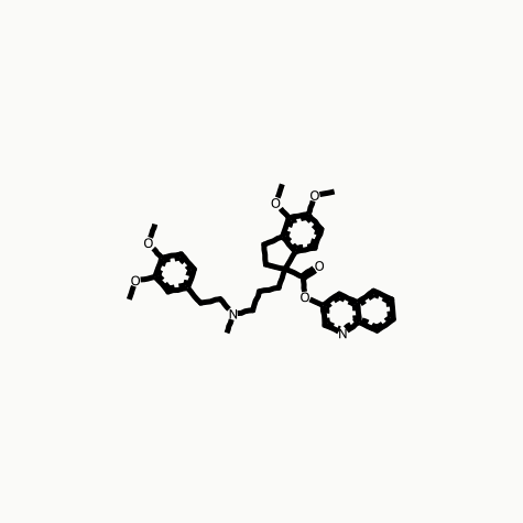 COc1ccc(CCN(C)CCCC2(C(=O)Oc3cnc4ccccc4c3)CCc3c2ccc(OC)c3OC)cc1OC